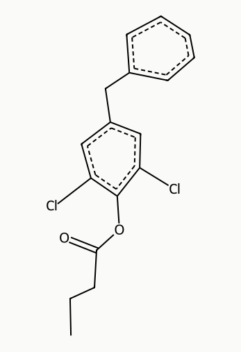 CCCC(=O)Oc1c(Cl)cc(Cc2ccccc2)cc1Cl